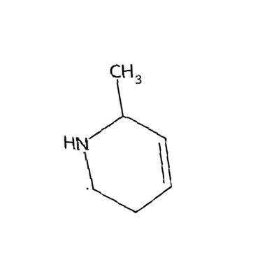 CC1C=CC[CH]N1